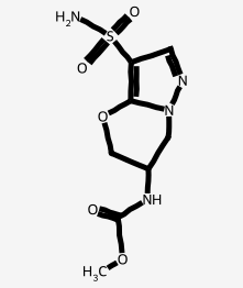 COC(=O)NC1COc2c(S(N)(=O)=O)cnn2C1